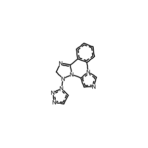 c1ccc2c(c1)C1=NCN(n3ccnn3)N1c1cncn1-2